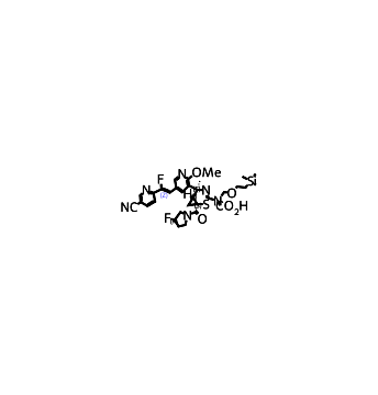 COc1ncc(/C=C(\F)c2ccc(C#N)cn2)cc1[C@@]1(C)N=C(N(COCC[Si](C)(C)C)C(=O)O)S[C@@]2(C(=O)N3CC[C@@H](F)C3)C[C@H]21